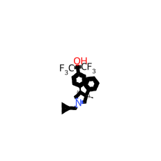 C[C@]1(c2ccccc2)CN(CC2CC2)C[C@H]1c1ccc(C(O)(C(F)(F)F)C(F)(F)F)cc1